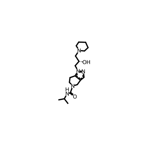 CC(C)NC(=O)N1CCc2c(cnn2C[C@@H](O)CN2CCCCC2)C1